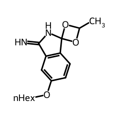 CCCCCCOc1ccc2c(c1)C(=N)NC21OC(C)O1